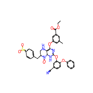 CCOC(=O)c1cc(C)cc(OC2=C3NCC(CC4=CCC(=S(=O)=O)C=C4)[N+](=O)C3NC(Oc3cc(C#N)ccc3Oc3ccccc3)=N2)c1